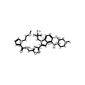 COCCn1cccc1C(=O)NCc1nc(-c2cc3c(N[C@@H]4CCN(C)C[C@@H]4F)cccc3n2CC(F)(F)F)no1